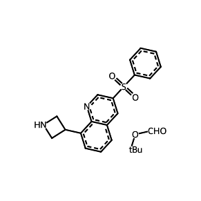 CC(C)(C)OC=O.O=S(=O)(c1ccccc1)c1cnc2c(C3CNC3)cccc2c1